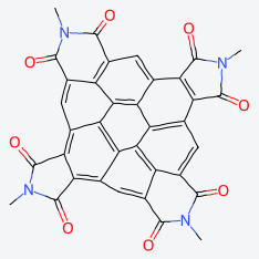 Cn1c(=O)c2cc3c4c(=O)n(C)c(=O)c4c4cc5c(=O)n(C)c(=O)c6cc7c8c(=O)n(C)c(=O)c8c8cc(c1=O)c2c1c3c4c(c56)c7c81